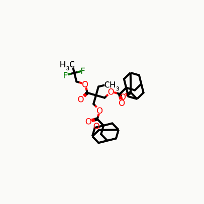 CCC(COC(=O)C12CC3CC(C1)C(=O)C(C3)C2)(COC(=O)C12CC3CC(C1)C(=O)C(C3)C2)C(=O)OCC(C)(F)F